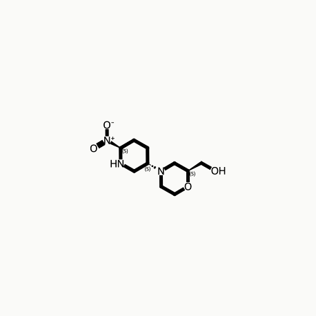 O=[N+]([O-])[C@H]1CC[C@H](N2CCO[C@H](CO)C2)CN1